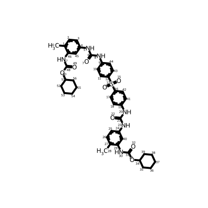 Cc1ccc(NC(=O)Nc2ccc(S(=O)(=O)c3ccc(NC(=O)Nc4ccc(C)c(NC(=O)OC5CCCCC5)c4)cc3)cc2)cc1NC(=O)OC1CCCCC1